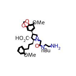 CCCCN(CCN)C(=O)CN1C[C@H](c2cc(OC)c3c(c2)OCO3)[C@@H](C(=O)O)[C@@H]1CCCc1ccccc1OC